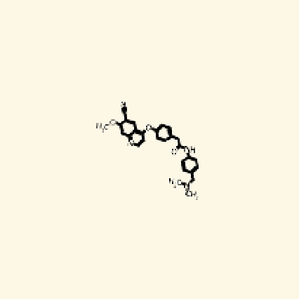 COc1cc2nccc(Oc3ccc(CC(=O)Nc4ccc(CN(C)C)cc4)cc3)c2cc1C#N